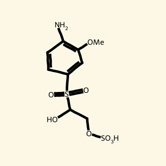 COc1cc(S(=O)(=O)C(O)COS(=O)(=O)O)ccc1N